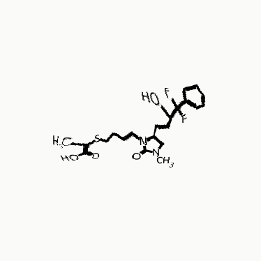 CC(SCCCCN1C(=O)N(C)C[C@@H]1/C=C/C(O)C(F)(F)c1ccccc1)C(=O)O